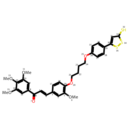 COc1cc(/C=C/C(=O)c2cc(OC)c(OC)c(OC)c2)ccc1OCCCCOc1ccc(C2=CC(S)SS2)cc1